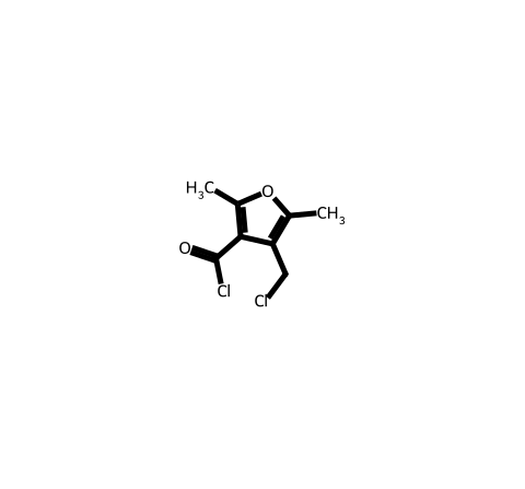 Cc1oc(C)c(C(=O)Cl)c1CCl